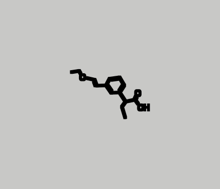 CCOC=Cc1cccc(C(CC)C(=O)O)c1